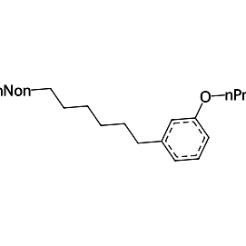 CC[CH]Oc1cccc(CCCCCCCCCCCCCCC)c1